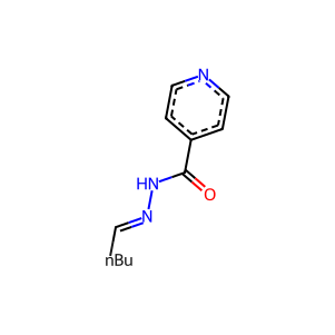 CCCCC=NNC(=O)c1ccncc1